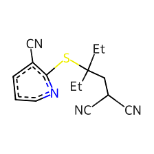 CCC(CC)(CC(C#N)C#N)Sc1ncccc1C#N